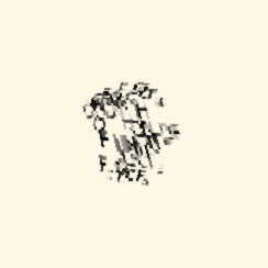 CN(C(=O)c1ccc(F)cc1)c1cccc(C(=O)Nc2c(I)cc(C(F)(C(F)(F)F)C(F)(F)F)cc2C(F)(F)F)c1F.O=C(Nc1cccc(C(=O)Nc2c(I)cc(C(F)(C(F)(F)F)C(F)(F)F)cc2C(F)(F)F)c1F)c1ccc(F)cc1